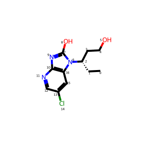 CC[C@@H](CCO)n1c(O)nc2ncc(Cl)cc21